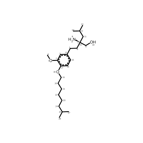 COc1cc(CC[C@@](N)(CO)CC(C)C)ccc1OCCCCCCC(C)C